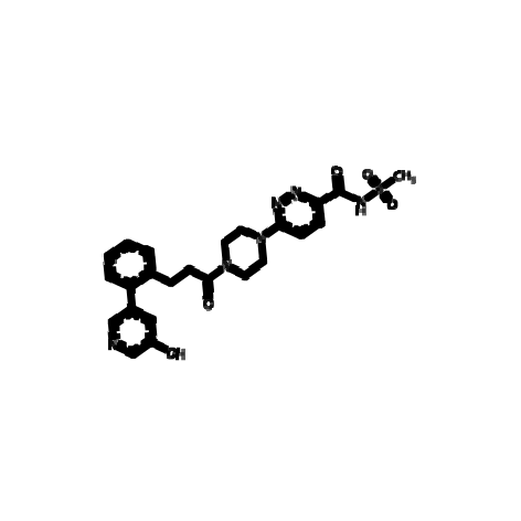 CS(=O)(=O)NC(=O)c1ccc(N2CCN(C(=O)CCc3ccccc3-c3cncc(O)c3)CC2)nn1